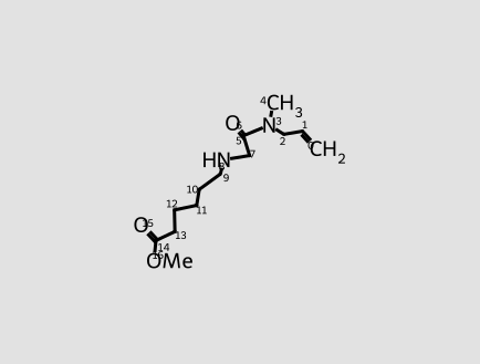 C=CCN(C)C(=O)CNCCCCCC(=O)OC